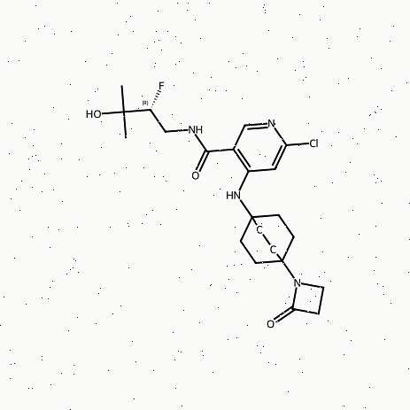 CC(C)(O)[C@H](F)CNC(=O)c1cnc(Cl)cc1NC12CCC(N3CCC3=O)(CC1)CC2